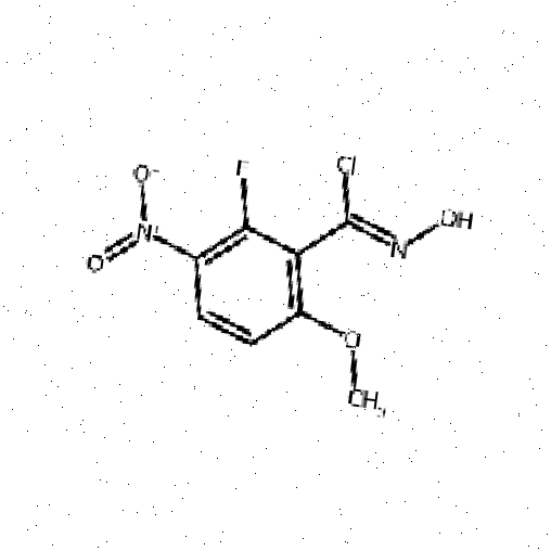 COc1ccc([N+](=O)[O-])c(F)c1C(Cl)=NO